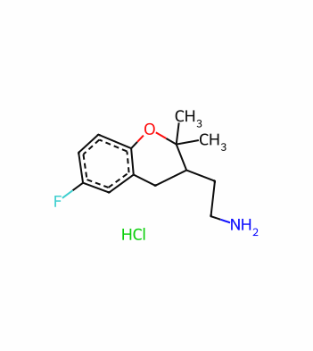 CC1(C)Oc2ccc(F)cc2CC1CCN.Cl